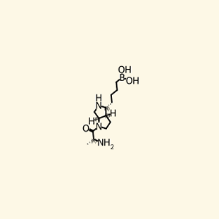 C[C@@H](N)C(=O)N1CC[C@H]2[C@@H](CCCCB(O)O)NC[C@@H]21